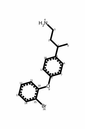 CC(CCN)c1ccc(Oc2ccccc2Br)cc1